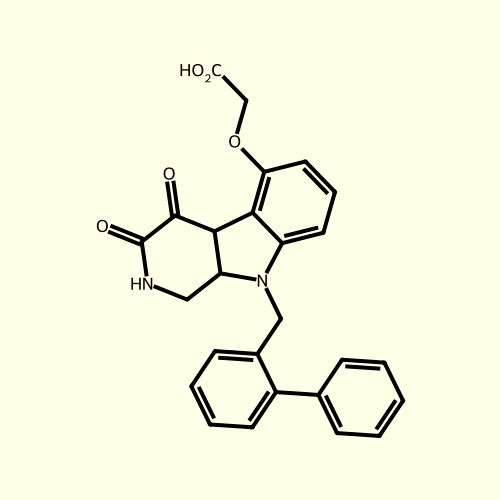 O=C(O)COc1cccc2c1C1C(=O)C(=O)NCC1N2Cc1ccccc1-c1ccccc1